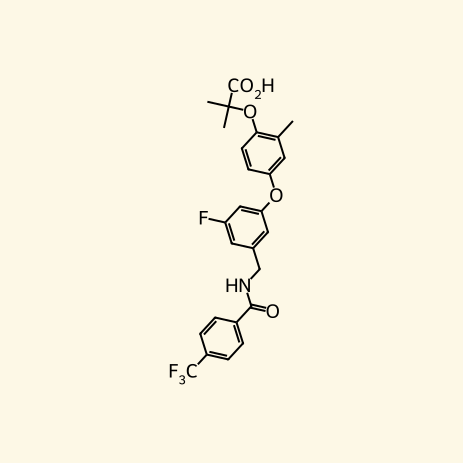 Cc1cc(Oc2cc(F)cc(CNC(=O)c3ccc(C(F)(F)F)cc3)c2)ccc1OC(C)(C)C(=O)O